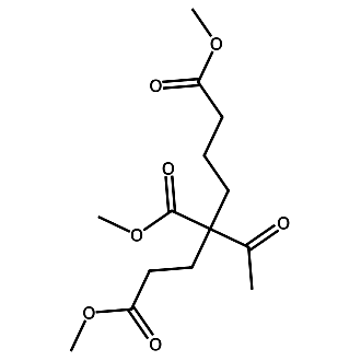 COC(=O)CCCC(CCC(=O)OC)(C(C)=O)C(=O)OC